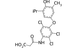 Cc1cc(Oc2c(Cl)cc(NC(=O)CC(=O)O)c(Cl)c2Cl)cc(C(C)C)c1O